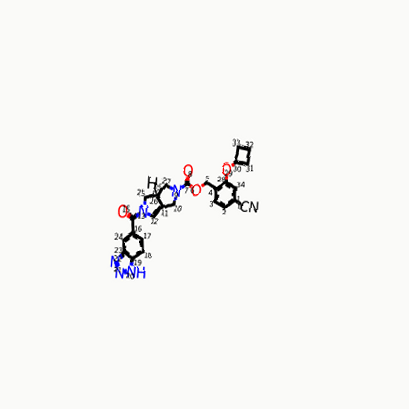 N#Cc1ccc(COC(=O)N2CC3=CN(C(=O)c4ccc5[nH]nnc5c4)C[C@H]3C2)c(OC2CCC2)c1